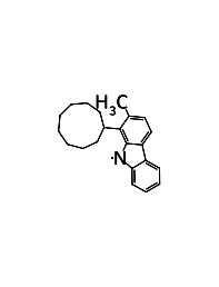 Cc1ccc2c(c1C1CCCCCCCC1)[N]c1ccccc1-2